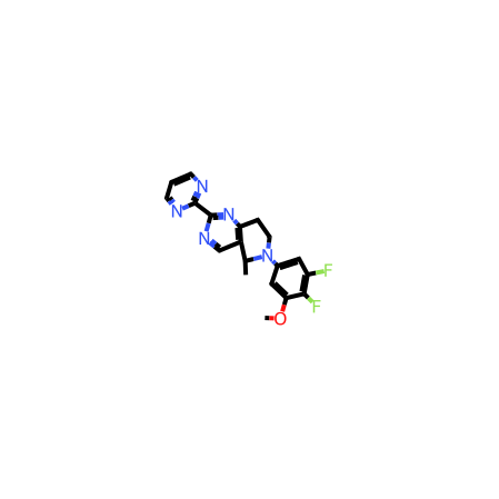 COc1cc(N2CCc3nc(-c4ncccn4)ncc3C2C)cc(F)c1F